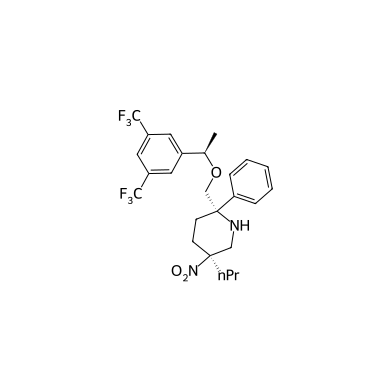 CCC[C@]1([N+](=O)[O-])CC[C@@](CO[C@H](C)c2cc(C(F)(F)F)cc(C(F)(F)F)c2)(c2ccccc2)NC1